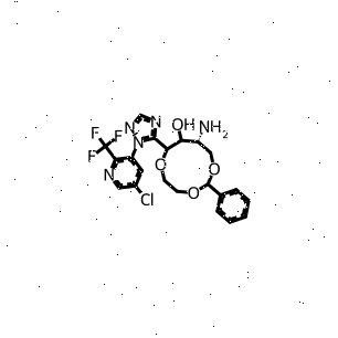 N[C@@H]1COC(c2ccccc2)OCCOC(c2ncnn2-c2cc(Cl)cnc2C(F)(F)F)C1O